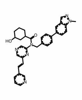 Cn1ncc2cc(-c3ccc(CN(C(=O)C4CCCC(O)C4)c4cncc(C=Cc5cccnc5)n4)cc3)ccc21